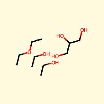 CCO.CCO.CCOCC.OCC(O)CO